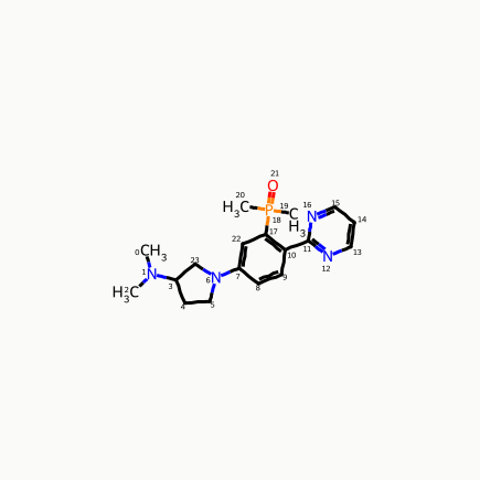 CN(C)C1CCN(c2ccc(-c3ncccn3)c(P(C)(C)=O)c2)C1